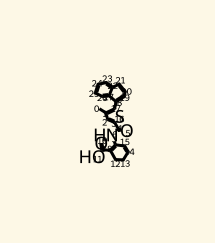 Cc1cc(C(=O)NC2=C(C(=O)O)CCC=C2)sc1-c1cccc2ccccc12